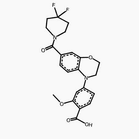 COc1cc(N2CCOc3cc(C(=O)N4CCC(F)(F)CC4)ccc32)ccc1C(=O)O